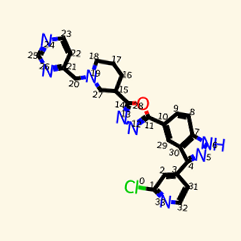 Clc1cc(-c2n[nH]c3ccc(-c4nnc(C5CCCN(Cc6ccncn6)C5)o4)cc23)ccn1